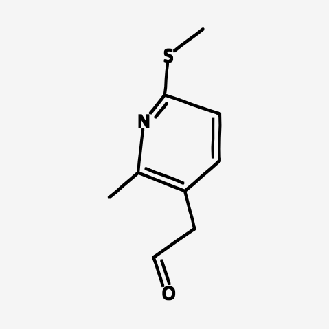 CSc1ccc(CC=O)c(C)n1